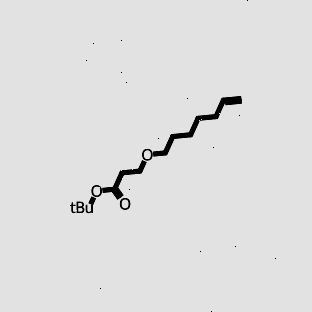 C=CCCCCCOCCC(=O)OC(C)(C)C